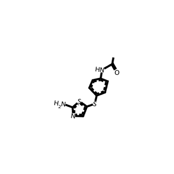 CC(=O)Nc1ccc(Sc2cnc(N)s2)cc1